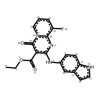 CCOC(=O)c1c(Nc2ccc3[nH]ccc3c2)nc2c(F)cccn2c1=O